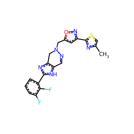 Cc1csc(-c2cc(CN3Cc4nc(-c5cccc(F)c5F)[nH]c4C=N3)on2)n1